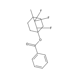 CC12CCC(OC(=O)c3ccccc3)(CC1)C(F)C2(F)F